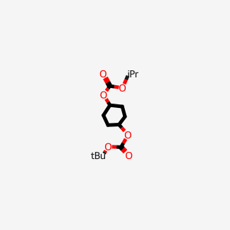 CC(C)OC(=O)OC1CCC(OC(=O)OC(C)(C)C)CC1